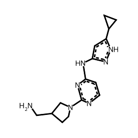 NCC1CCN(c2nccc(Nc3cc(C4CC4)[nH]n3)n2)C1